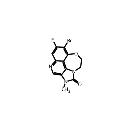 Cn1c(=O)n2c3c4c(c(Br)c(F)cc4ncc31)OCC2